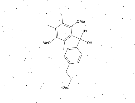 CCCCCCCCCCCCc1ccc(C(O)(c2c(C)c(OC)c(C)c(C)c2OC)C(C)C)cc1